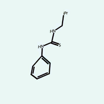 CC(C)CNC(=S)Nc1ccccc1